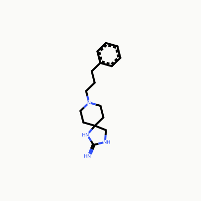 N=C1NCC2(CCN(CCCc3ccccc3)CC2)N1